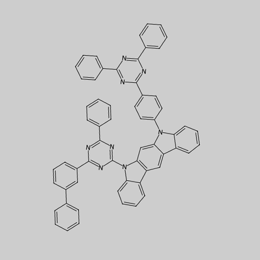 c1ccc(-c2cccc(-c3nc(-c4ccccc4)nc(-n4c5ccccc5c5cc6c7ccccc7n(-c7ccc(-c8nc(-c9ccccc9)nc(-c9ccccc9)n8)cc7)c6cc54)n3)c2)cc1